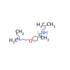 C=CCN(C)CCCCOC1CCC(N(C)C(=S)NCCC(C)C)CC1